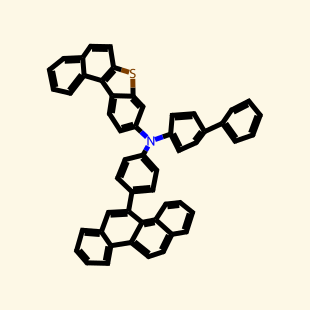 c1ccc(-c2ccc(N(c3ccc(-c4cc5ccccc5c5ccc6ccccc6c45)cc3)c3ccc4c(c3)sc3ccc5ccccc5c34)cc2)cc1